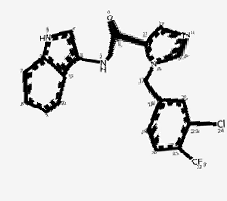 O=C(Nc1c[nH]c2ccccc12)c1cncn1Cc1ccc(C(F)(F)F)c(Cl)c1